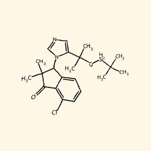 CC(C)(C)[SiH2]OC(C)(C)c1cncn1C1c2cccc(Cl)c2C(=O)C1(C)C